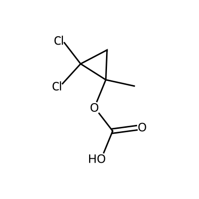 CC1(OC(=O)O)CC1(Cl)Cl